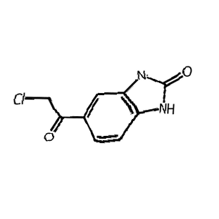 O=C1[N]c2cc(C(=O)CCl)ccc2N1